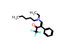 CCCCCN(/C=C(\C(=O)C(F)(F)F)c1ccccc1)CC